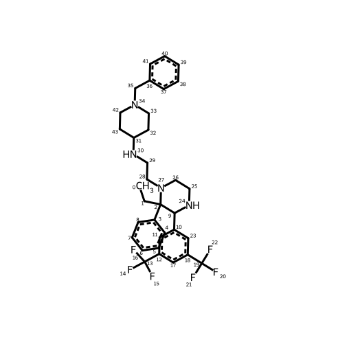 CCC1(c2ccccc2)C(c2cc(C(F)(F)F)cc(C(F)(F)F)c2)NCCN1CCNC1CCN(Cc2ccccc2)CC1